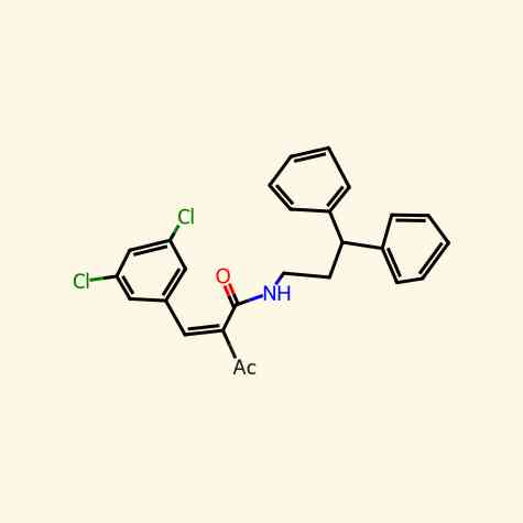 CC(=O)/C(=C/c1cc(Cl)cc(Cl)c1)C(=O)NCCC(c1ccccc1)c1ccccc1